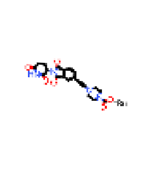 CC(C)(C)OC(=O)N1CCN(C#Cc2ccc3c(c2)C(=O)N(C2CCC(=O)NC2=O)C3=O)CC1